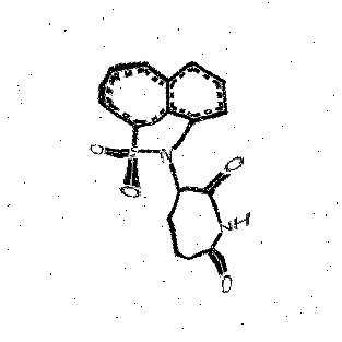 O=C1CCC(N2c3cccc4cccc(c34)S2(=O)=O)C(=O)N1